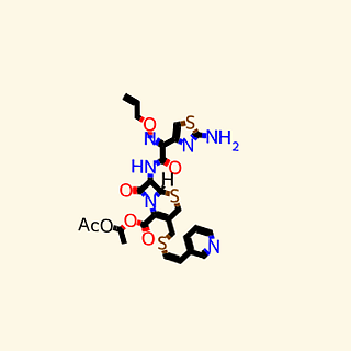 C=CCON=C(C(=O)NC1C(=O)N2C(C(=O)OC(C)OC(C)=O)=C(CS/C=C\c3cccnc3)CS[C@@H]12)c1csc(N)n1